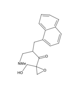 CNCC(Cc1cccc2ccccc12)C(=O)C1(CO)CO1